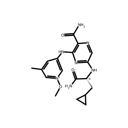 CO[n+]1cc(C)cc(Nc2nc(N[C@H](CC3CC3)C(N)=O)cnc2C(N)=O)c1